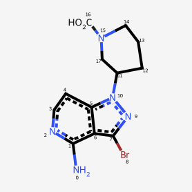 Nc1nccc2c1c(Br)nn2C1CCCN(C(=O)O)C1